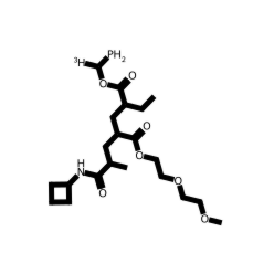 [3H]C(P)OC(=O)C(CC)CC(CC(C)C(=O)NC1CCC1)C(=O)OCCOCCOC